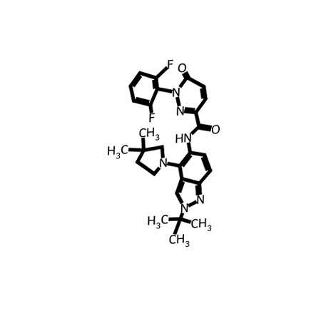 CC1(C)CCN(c2c(NC(=O)c3ccc(=O)n(-c4c(F)cccc4F)n3)ccc3nn(C(C)(C)C)cc23)C1